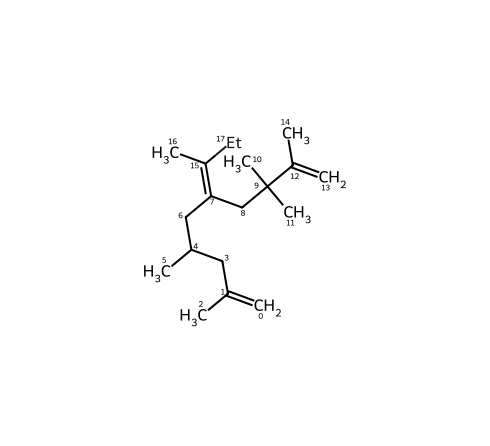 C=C(C)CC(C)CC(CC(C)(C)C(=C)C)=C(C)CC